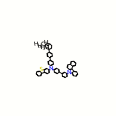 C[C@H]1CC2CCC(c3ccc(-c4ccc(N(c5ccc(-c6cccc(-n7c8ccccc8c8c9ccccc9ccc87)c6)cc5)c5ccc6c(c5)sc5ccccc56)cc4)cc3)(C1)C[C@H]2C